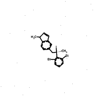 CCc1cccc(CC)c1[C@](C)(I)Cc1ccc2c(c1)C=CC2C